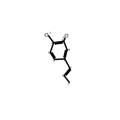 CC=Cc1ccc(Cl)c(Cl)c1